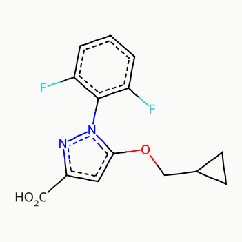 O=C(O)c1cc(OCC2CC2)n(-c2c(F)cccc2F)n1